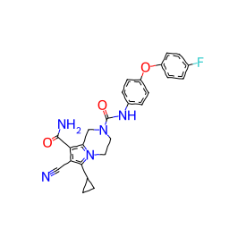 N#Cc1c(C(N)=O)c2n(c1C1CC1)CCN(C(=O)Nc1ccc(Oc3ccc(F)cc3)cc1)C2